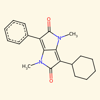 CN1C(=O)C(C2CCCCC2)=C2C1=C(c1ccccc1)C(=O)N2C